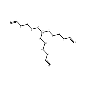 C=CCCC[CH2][Sn]([CH2]CCCC=C)[CH2]CCCC=C